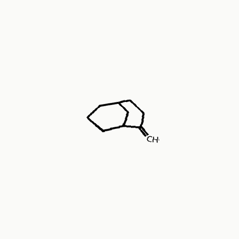 [CH]=C1CCC2CCCC1C2